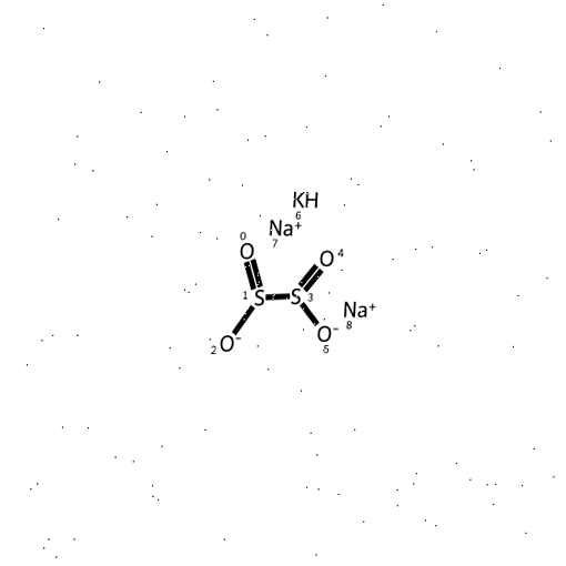 O=S([O-])S(=O)[O-].[KH].[Na+].[Na+]